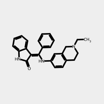 CCN1CCc2ccc(N/C(=C3\C(=O)Nc4ccccc43)c3ccccc3)cc2C1